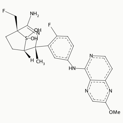 COc1cnc2c(Nc3ccc(F)c([C@@]4(C)N=C(N)[C@@]5(CF)CC[C@@H]4S5(O)O)c3)nccc2n1